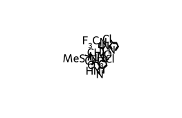 CSCC(C)(C)NC(=O)c1c(NC(=O)c2cc(C(F)(F)F)nn2-c2ncccc2Cl)c(Cl)cc2cn[nH]c12